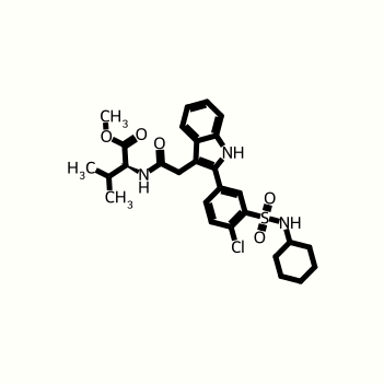 COC(=O)[C@@H](NC(=O)Cc1c(-c2ccc(Cl)c(S(=O)(=O)NC3CCCCC3)c2)[nH]c2ccccc12)C(C)C